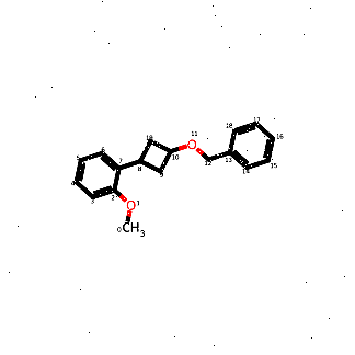 COc1ccccc1C1CC(OCc2ccccc2)C1